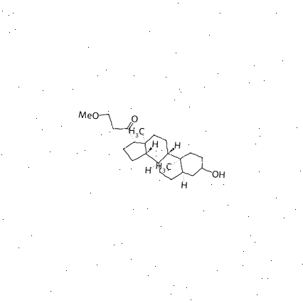 COCCC(=O)[C@H]1CC[C@H]2[C@@H]3CC[C@@H]4CC(O)CC[C@]4(C)[C@H]3CC[C@]12C